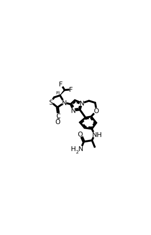 CC(Nc1ccc2c(c1)OCCn1cc(N3C(=C=O)SC[C@H]3C(F)F)nc1-2)C(N)=O